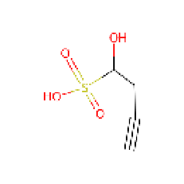 C#CCC(O)S(=O)(=O)O